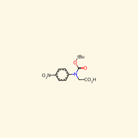 CC(C)(C)OC(=O)N(CC(=O)O)c1ccc([N+](=O)[O-])cc1